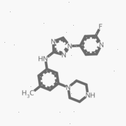 Cc1cc(Nc2ncn(-c3ccnc(F)c3)n2)cc(N2CCNCC2)c1